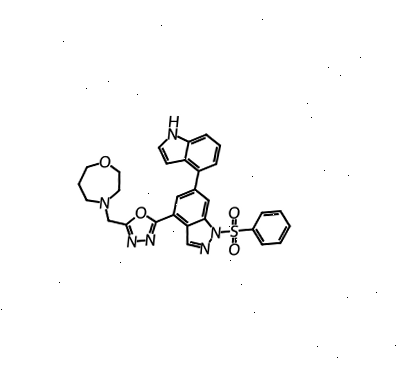 O=S(=O)(c1ccccc1)n1ncc2c(-c3nnc(CN4CCCOCC4)o3)cc(-c3cccc4[nH]ccc34)cc21